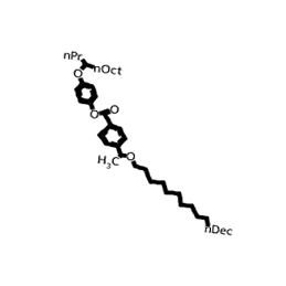 CCCCCCCCCCCCCCCCCCCCOC(C)c1ccc(C(=O)Oc2ccc(OC(CCC)CCCCCCCC)cc2)cc1